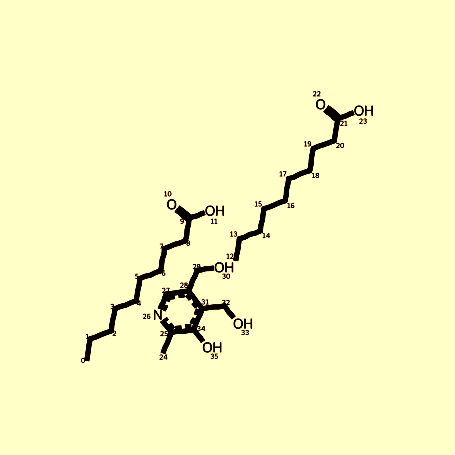 CCCCCCCCCC(=O)O.CCCCCCCCCC(=O)O.Cc1ncc(CO)c(CO)c1O